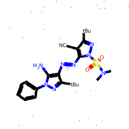 CN(C)S(=O)(=O)n1nc(C(C)(C)C)c(C#N)c1/N=N/c1c(C(C)(C)C)nn(-c2ccccc2)c1N